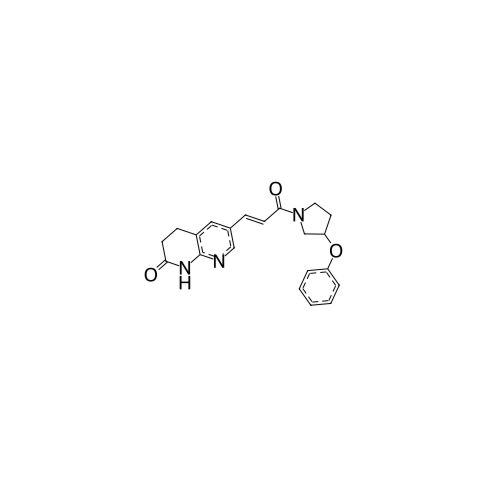 O=C1CCc2cc(/C=C/C(=O)N3CCC(Oc4ccccc4)C3)cnc2N1